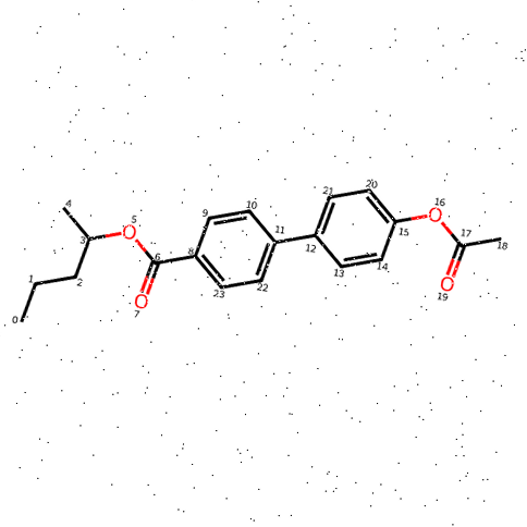 CCCC(C)OC(=O)c1ccc(-c2ccc(OC(C)=O)cc2)cc1